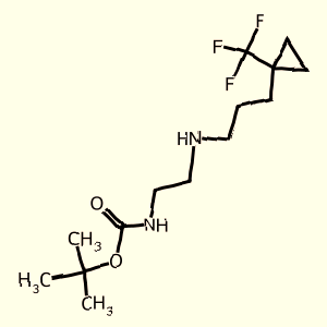 CC(C)(C)OC(=O)NCCNCCCC1(C(F)(F)F)CC1